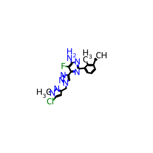 C#Cc1cccc(-c2nc(N)c(F)c(-c3cn(Cc4cc(Cl)n(C)n4)nn3)n2)c1C